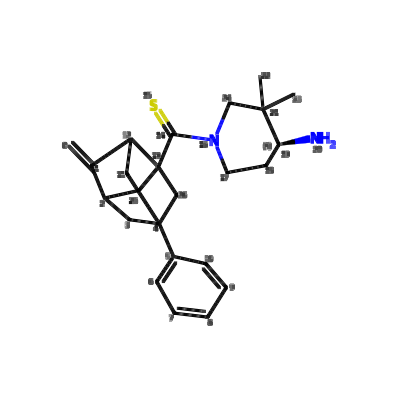 C=C1C2CC3(c4ccccc4)CC1C(C(=S)N1CC[C@H](N)C(C)(C)C1)(C2)C3